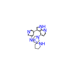 Nc1cncc(-c2c[nH]c3nccc(N4CCCC5(CCCCN5)C4)c23)c1